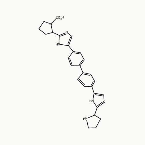 O=C(O)N1CCCC1c1ncc(-c2ccc(-c3ccc(-c4cnc(C5CCCN5)[nH]4)cc3)cc2)[nH]1